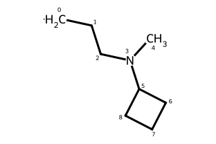 [CH2]CCN(C)C1CCC1